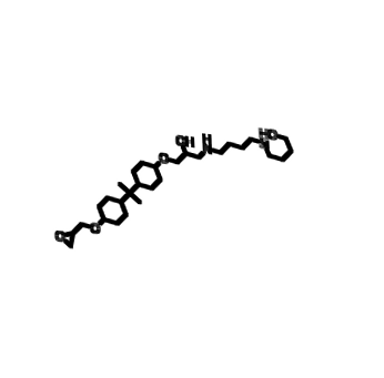 CC(C)(C1CCC(OCC(O)CNCCCC[SiH]2CCCCO2)CC1)C1CCC(OCC2CO2)CC1